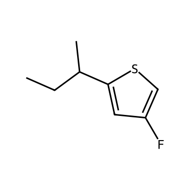 CCC(C)c1cc(F)cs1